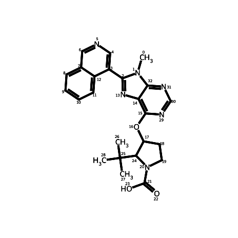 Cn1c(-c2cncc3ccccc23)nc2c(OC3CCN(C(=O)O)C3C(C)(C)C)ncnc21